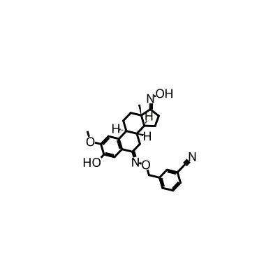 COc1cc2c(cc1O)C(=NOCc1cccc(C#N)c1)C[C@@H]1[C@@H]2CC[C@]2(C)C(=NO)CC[C@@H]12